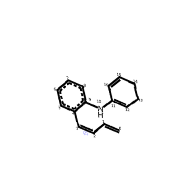 C=C/C=C\c1ccccc1NC1=CCCC=C1